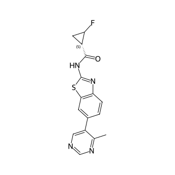 Cc1ncncc1-c1ccc2nc(NC(=O)[C@@H]3CC3F)sc2c1